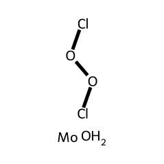 ClOOCl.O.[Mo]